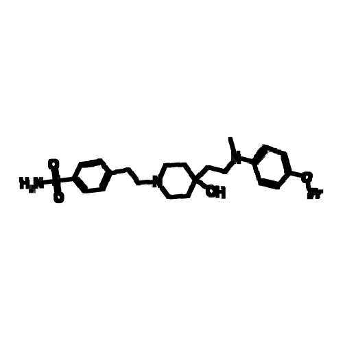 CC(C)Oc1ccc(N(C)CCC2(O)CCN(CCc3ccc(S(N)(=O)=O)cc3)CC2)cc1